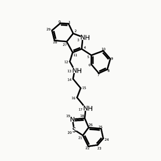 C1=CC2NC(c3ccccc3)=C(CNCCCNc3nsc4ccccc34)C2C=C1